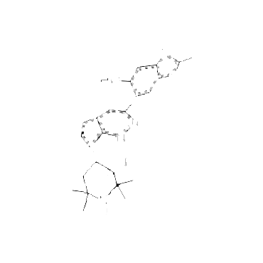 Cc1nc2cc(O)c(-c3cc4ccn([C@H]5CC(C)(C)NC(C)(C)[C@H]5F)c4nn3)cc2s1